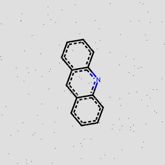 [c]1ccc2cc3cc[c]cc3nc2c1